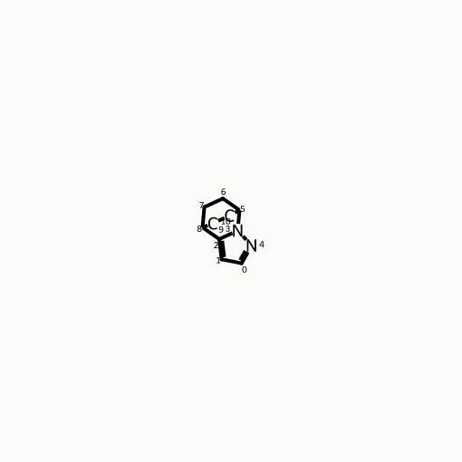 c1cc2n(n1)C1CCC2CC1